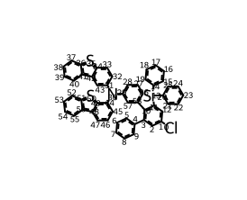 Clc1cc(-c2ccccc2)c2c(c1)[Si](c1ccccc1)(c1ccccc1)c1ccc(N(c3ccc4sc5ccccc5c4c3)c3cccc4c3sc3ccccc34)cc1-2